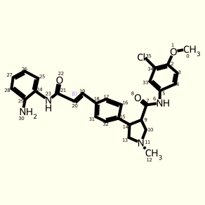 COc1ccc(NC(=O)C2CN(C)CC2c2ccc(/C=C/C(=O)Nc3ccccc3N)cc2)cc1Cl